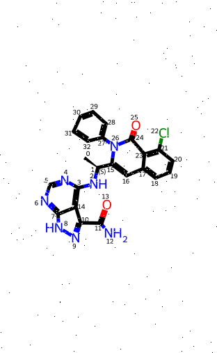 C[C@H](Nc1ncnc2[nH]nc(C(N)=O)c12)c1cc2cccc(Cl)c2c(=O)n1-c1ccccc1